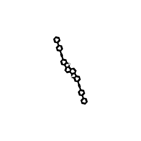 C(#Cc1ccc2c(c1)oc1c2ccc2c1ccc1c3ccc(C#Cc4ccc(-c5ccccc5)cc4)cc3sc12)c1ccc(-c2ccccc2)cc1